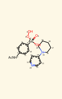 CC(=O)Nc1ccc([As](=O)(O)OO)cc1.c1cc(N2CCCCC2)ccn1